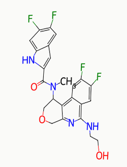 CN(C(=O)c1cc2cc(F)c(F)cc2[nH]1)C1COCc2nc(NCCO)c3cc(F)c(F)cc3c21